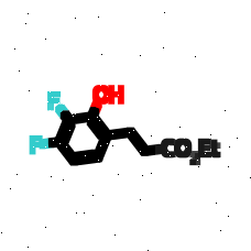 CCOC(=O)CCc1ccc(F)c(F)c1O